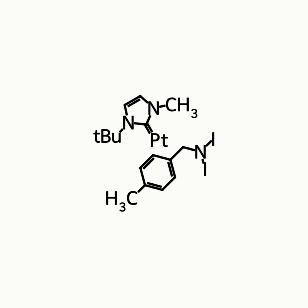 Cc1ccc(CN(I)I)cc1.Cn1ccn(C(C)(C)C)[c]1=[Pt]